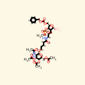 B[C@@H]1O[C@H](COC(=O)OCc2ccccc2)[C@H](OP(=O)(O)OC)C1CCCNC(=O)CCCCO[C@@H]1O[C@H](COC(C)=O)[C@H](OC(C)=O)[C@H](OC(C)=O)[C@H]1NC(C)=O